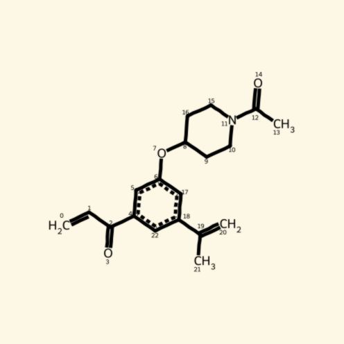 C=CC(=O)c1cc(OC2CCN(C(C)=O)CC2)cc(C(=C)C)c1